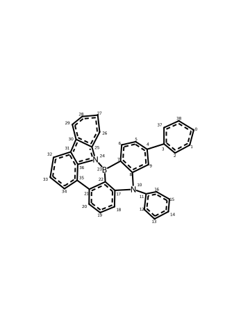 c1ccc(-c2ccc3c(c2)N(c2ccccc2)c2cccc4c2B3n2c3ccccc3c3cccc-4c32)cc1